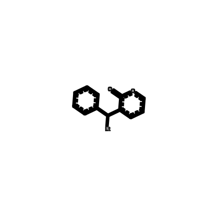 CCC(c1ccccc1)c1cccoc1=O